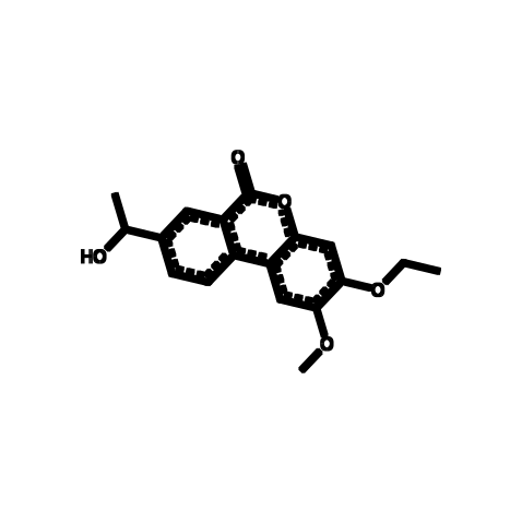 CCOc1cc2oc(=O)c3cc(C(C)O)ccc3c2cc1OC